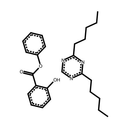 CCCCCc1ncnc(CCCCC)n1.O=C(Oc1ccccc1)c1ccccc1O